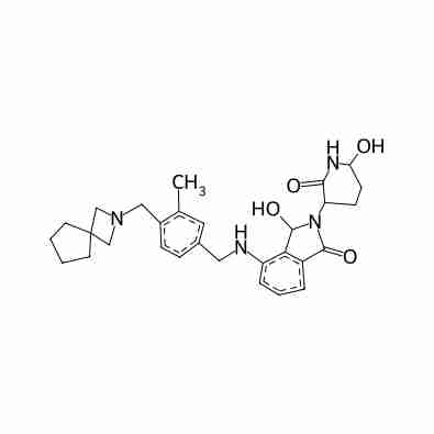 Cc1cc(CNc2cccc3c2C(O)N(C2CCC(O)NC2=O)C3=O)ccc1CN1CC2(CCCC2)C1